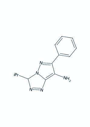 CC(C)C1N=Nc2c(N)c(-c3ccccc3)nn21